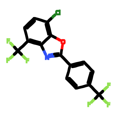 FC(F)(F)c1ccc(-c2nc3c(C(F)(F)F)ccc(Cl)c3o2)cc1